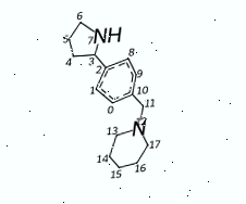 c1cc(C2CCCN2)ccc1CN1CCCCC1